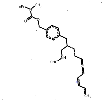 C=C/C=C\C=C=CCCC(CNC=O)Cc1ccc(COC(=O)N(C)CCC)cc1